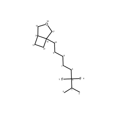 CC(C)C(F)(F)CCCCCC12CCC1COC2